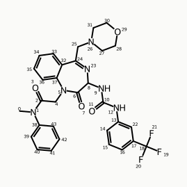 CN(C(=O)CN1C(=O)C(NC(=O)Nc2cccc(C(F)(F)F)c2)N=C(CN2CCOCC2)c2ccccc21)c1ccccc1